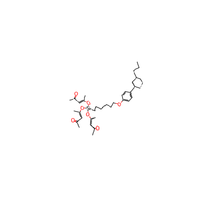 CCCC1CCCC(c2ccc(OCCCCCC[Si](OC(C)=CC(C)=O)(OC(C)=CC(C)=O)OC(C)=CC(C)=O)cc2)C1